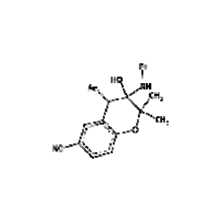 CCNC1(O)C(C(C)=O)c2cc(C#N)ccc2OC1(C)C